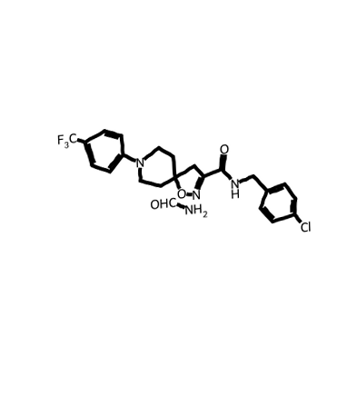 NC=O.O=C(NCc1ccc(Cl)cc1)C1=NOC2(CCN(c3ccc(C(F)(F)F)cc3)CC2)C1